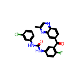 Cc1cnc2ccc(C(=O)c3cc(NC(=O)Nc4cccc(Cl)c4)ccc3F)cc2n1